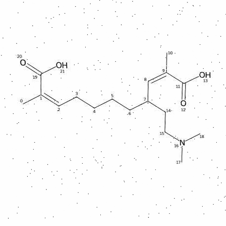 CC(=CCCCC[C](C=C(C)C(=O)O)CCN(C)C)C(=O)O